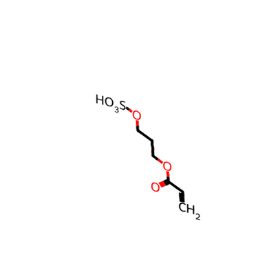 C=CC(=O)OCCCOS(=O)(=O)O